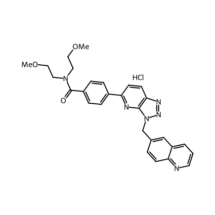 COCCN(CCOC)C(=O)c1ccc(-c2ccc3nnn(Cc4ccc5ncccc5c4)c3n2)cc1.Cl